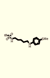 CSc1ccc(NCCCCCNS(=O)(=O)C(C)(C)C)cc1